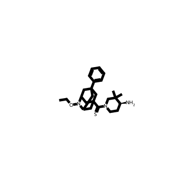 CCON1C2CC3(C(=S)N4CC[C@H](N)C(C)(C)C4)CC1CC(c1ccccc1)(C2)C3